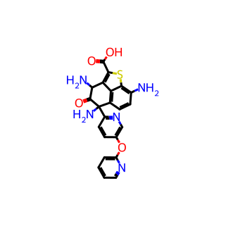 Nc1ccc2c3c(c(C(=O)O)sc13)C(N)C(=O)C2(N)c1ccc(Oc2ccccn2)cn1